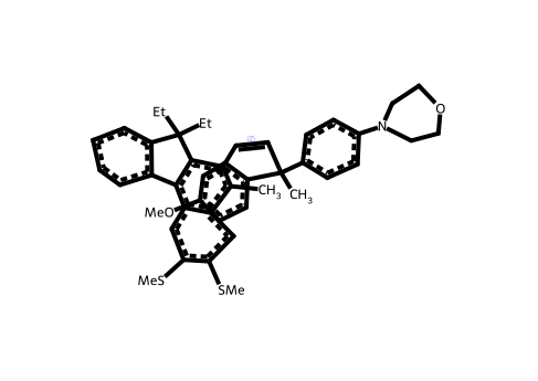 CCC1(CC)c2ccccc2-c2c1c(/C=C\C(C)(c1ccc(OC)cc1)c1ccc(N3CCOCC3)cc1)c(C)c1cc(SC)c(SC)cc21